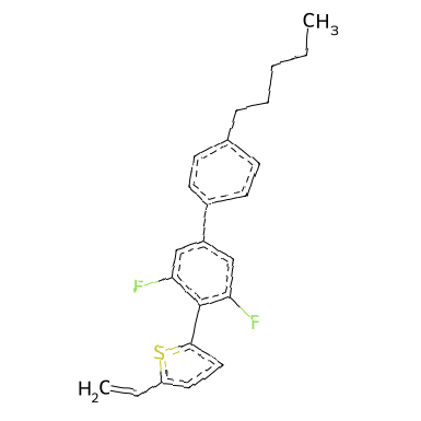 C=Cc1ccc(-c2c(F)cc(-c3ccc(CCCCC)cc3)cc2F)s1